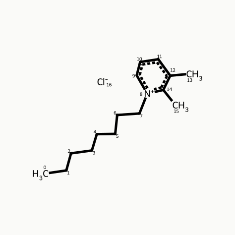 CCCCCCCC[n+]1cccc(C)c1C.[Cl-]